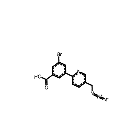 [N-]=[N+]=NCc1ccc(-c2cc(Br)cc(C(=O)O)c2)nc1